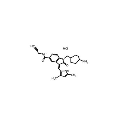 C#CCNC(=O)c1ccc2c(c1)/C(=C/c1[nH]c(C)cc1C)C(=O)N2CC1CCC(N)CC1.Cl